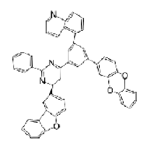 c1ccc(C2=N[C@H](c3ccc4oc5ccccc5c4c3)CC(c3cc(-c4ccc5c(c4)Oc4ccccc4O5)cc(-c4cccc5ncccc45)c3)=N2)cc1